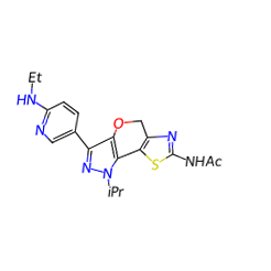 CCNc1ccc(-c2nn(C(C)C)c3c2OCc2nc(NC(C)=O)sc2-3)cn1